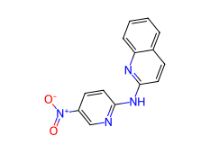 O=[N+]([O-])c1ccc(Nc2ccc3ccccc3n2)nc1